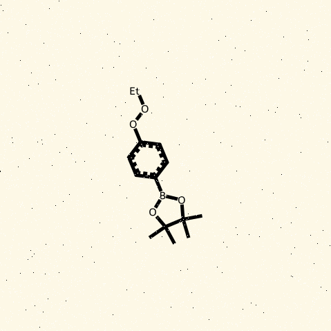 CCOOc1ccc(B2OC(C)(C)C(C)(C)O2)cc1